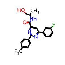 CC(CO)NC(=O)c1cc(-c2cccc(F)c2)nc(-c2ccc(C(F)(F)F)cc2)n1